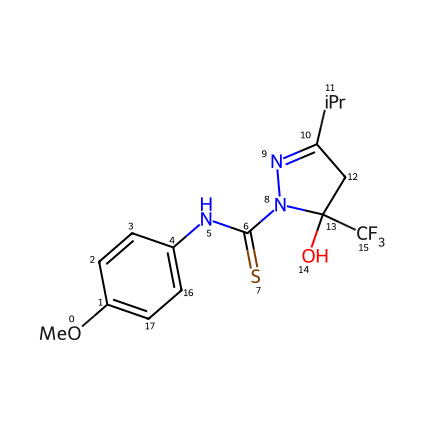 COc1ccc(NC(=S)N2N=C(C(C)C)CC2(O)C(F)(F)F)cc1